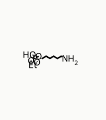 CCOP(=O)(O)OCCCCCCN